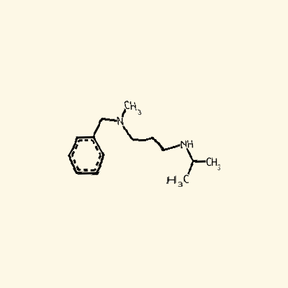 CC(C)NCCCN(C)Cc1ccccc1